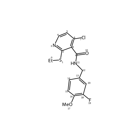 CCSc1nccc(Cl)c1C(=O)NCc1ccc(OC)c(F)c1